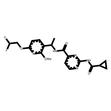 COc1nc(OCC(F)F)ccc1C(C)NC(=O)c1ccnc(NC(=O)C2CC2)n1